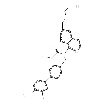 COc1ccc(-c2ccc(CN(C(=O)CC(C)(C)C)c3nccc4cc(COCC(=O)O)ccc34)cc2)cc1C